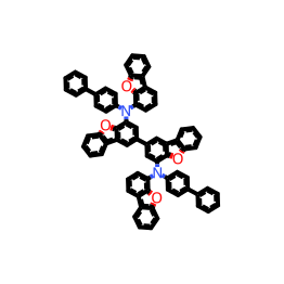 c1ccc(-c2ccc(N(c3cccc4c3oc3ccccc34)c3cc(-c4cc(N(c5ccc(-c6ccccc6)cc5)c5cccc6c5oc5ccccc56)c5oc6ccccc6c5c4)cc4c3oc3ccccc34)cc2)cc1